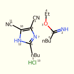 CCCCC(=N)OCC.CCCCc1nc(C#N)c(C#N)[nH]1.Cl